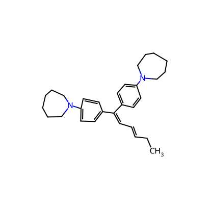 CCC=CC=C(c1ccc(N2CCCCCC2)cc1)c1ccc(N2CCCCCC2)cc1